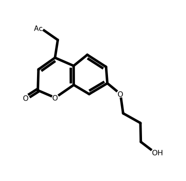 CC(=O)Cc1cc(=O)oc2cc(OCCCO)ccc12